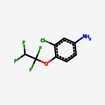 Nc1ccc(OC(F)(F)C(F)F)c(Cl)c1